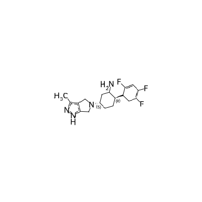 Cc1n[nH]c2c1CN([C@H]1CC[C@H](C3CC(F)=C(F)C=C3F)C(N)C1)C2